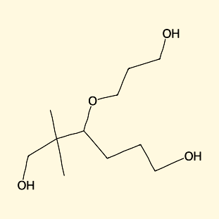 CC(C)(CO)C(CCCO)OCCCO